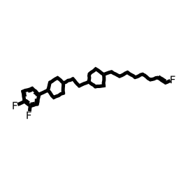 FC=CCCCCCCC1CCC(CCC2CCC(c3ccc(F)c(F)c3)CC2)CC1